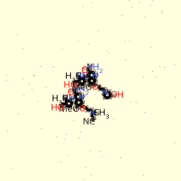 COc1cc2c(Nc3cccc(CO)c3C)c(C(N)=O)cnc2cc1OCCCN(C)CCC#N.COc1cc2c(Nc3cccc(CO)c3C)c(C(N)=O)cnc2cc1OCCCN1CCCC(O)C1